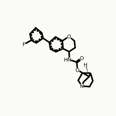 O=C(NC1CCOc2cc(-c3cccc(F)c3)ccc21)O[C@@H]1CN2CCC1CC2